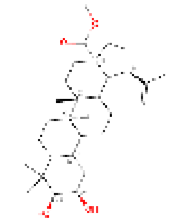 C=C(C)[C@@H]1CC[C@]2(C(=O)OC)CC[C@]3(C)C(CCC4[C@@]5(C)C[C@@H](O)[C@@H](O)C(C)(C)C5CC[C@]43C)C12